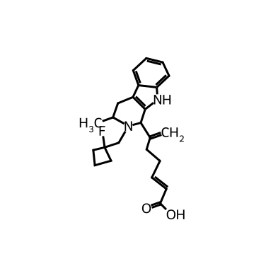 C=C(CC/C=C/C(=O)O)C1c2[nH]c3ccccc3c2CC(C)N1CC1(F)CCC1